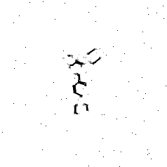 c1nc2nc(-c3ccc(N4CCOCC4)nc3)nc(N3CCOCC3)c2o1